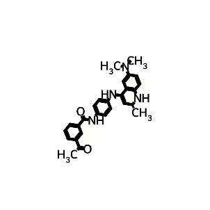 CC(=O)c1cccc(C(=O)Nc2ccc(NC3=C[C@H](C)Nc4ccc(N(C)C)cc43)cc2)c1